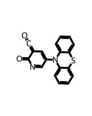 O=C=C1C=C(N2c3ccccc3Sc3ccccc32)C=NC1=O